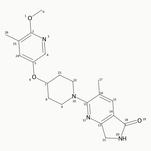 COc1ncc(OC2CCN(c3nc4c(cc3C)C(=O)NC4)CC2)cc1C